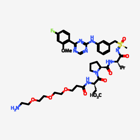 COc1cc(F)ccc1-c1ncnc(Nc2cccc(C[S@@](C)(=O)=NC(=O)[C@@H](NC(=O)[C@@H]3CCCN3C(=O)[C@H](CC(=O)O)NC(=O)CCOCCOCCOCCN)C(C)C)c2)n1